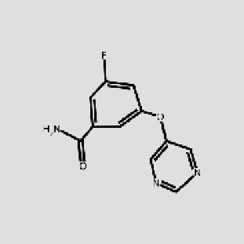 NC(=O)c1cc(F)cc(Oc2cncnc2)c1